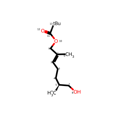 C/C(=C\CC[C@H](C)CO)COC(=O)C(C)(C)C